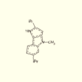 CC(C)c1ccc2c3[nH]c(C(C)C)cc3n(C)c2c1